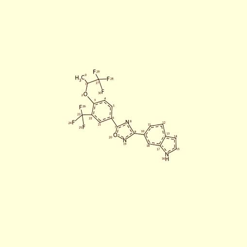 CC(Oc1ccc(-c2nc(-c3ccc4cc[nH]c4c3)no2)cc1C(F)(F)F)C(F)(F)F